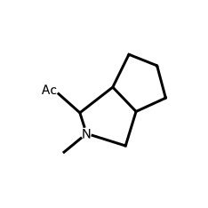 CC(=O)C1C2CCCC2CN1C